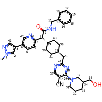 Cn1cc(-c2ccc(C(C(=O)NCc3ccccc3)[C@H]3CC[C@H](Cc4ncc(C#N)c(N5CCCC(CO)C5)n4)CC3)nc2)cn1